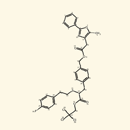 Cc1oc(-c2ccccc2)nc1CC(=O)OCc1ccc(CC(SCCc2ccc(F)cc2)C(=O)OCC(Cl)(Cl)Cl)cc1